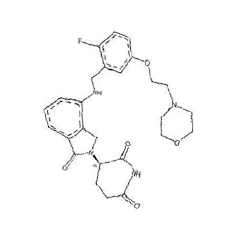 O=C1CC[C@@H](N2Cc3c(NCc4cc(OCCN5CCOCC5)ccc4F)cccc3C2=O)C(=O)N1